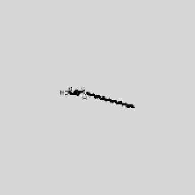 CCCCCCCCCCCCCCCCCCNC(=O)C1CC(CC(=O)O)C1